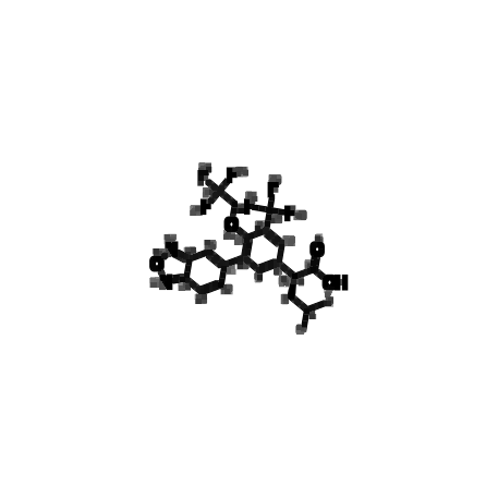 CC(C)C[C@H](C(=O)O)c1cc(-c2ccc3nonc3c2)c(OCC(F)(F)F)c(C(F)(F)F)c1